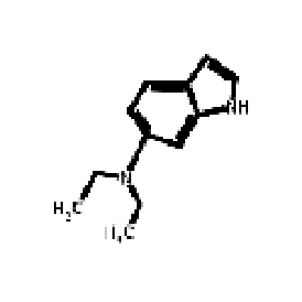 CCN(CC)c1ccc2cc[nH]c2c1